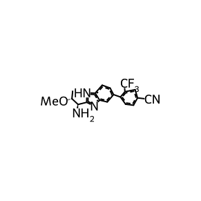 CO[C@H](C)[C@H](N)c1nc2cc(-c3ccc(C#N)cc3C(F)(F)F)ccc2[nH]1